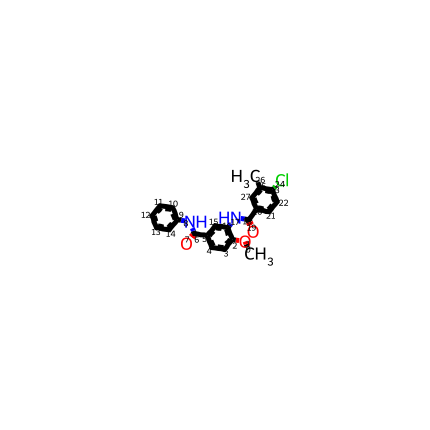 COc1ccc(C(=O)Nc2ccccc2)cc1NC(=O)c1ccc(Cl)c(C)c1